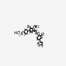 CCOc1c(Br)c(-c2ccc(C(=O)O)cc2)nn1CCOc1ccc(-c2cc(C)cs2)cc1Cl